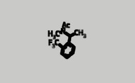 CC(=O)N(C)C(C)c1ccccc1C(F)(F)F